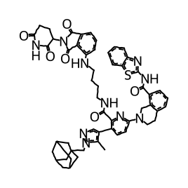 Cc1c(-c2ccc(N3CCc4cccc(C(=O)Nc5nc6ccccc6s5)c4C3)nc2C(=O)NCCCCNc2cccc3c2C(=O)N(C2CCC(=O)NC2=O)C3=O)cnn1CC12CC3CC(CC(C3)C1)C2